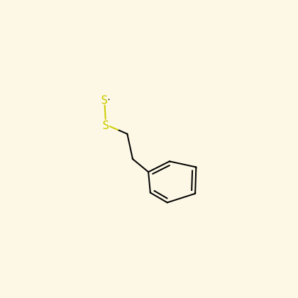 [S]SCCc1ccccc1